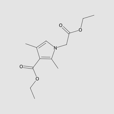 CCOC(=O)Cn1cc(C)c(C(=O)OCC)c1C